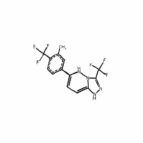 Cc1cc(C2=CC=C3NN=C(C(F)(F)F)N3N2)ccc1C(F)(F)F